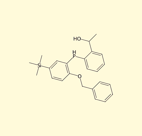 CC(O)c1ccccc1Pc1cc([Si](C)(C)C)ccc1OCc1ccccc1